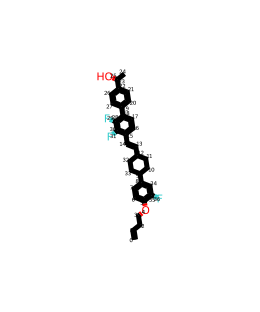 C=CCCOc1ccc(C2CCC(/C=C/c3ccc(-c4ccc(C(C)O)cc4)c(F)c3F)CC2)cc1F